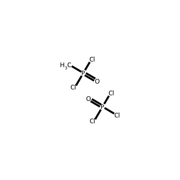 CP(=O)(Cl)Cl.O=P(Cl)(Cl)Cl